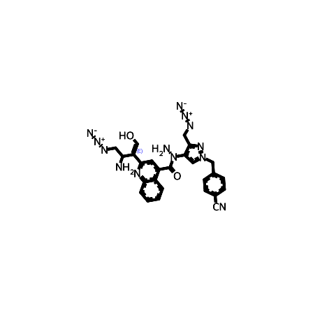 N#Cc1ccc(Cn2cc(N(N)C(=O)c3cc(/C(=C/O)C(N)CN=[N+]=[N-])nc4ccccc34)c(CN=[N+]=[N-])n2)cc1